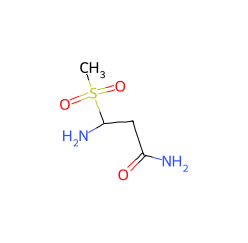 CS(=O)(=O)C(N)CC(N)=O